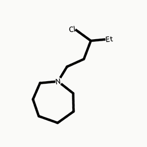 CCC(Cl)CCN1CCCCCC1